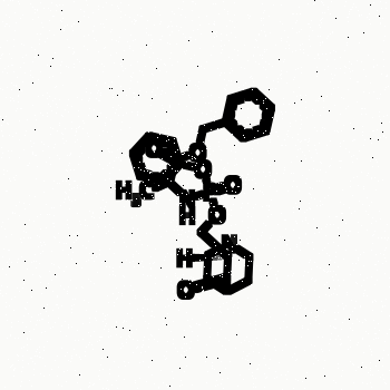 C[C@H](NP(=O)(OC[C@@H]1C(=O)C2CCN1CC2)Oc1ccccc1)C(=O)OCc1ccccc1